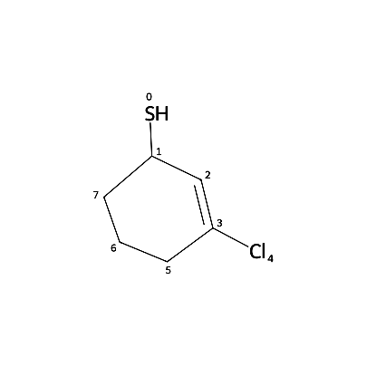 SC1C=C(Cl)CCC1